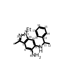 CCn1nc(C)c2cc(N)c(NC(C)c3ccccc3)cc21